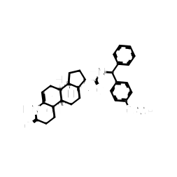 COc1ccc(C(NC(=O)[C@H]2CC[C@H]3[C@@H]4CC=C5NC(=O)CC[C@]5(C)[C@H]4CC[C@]23C)c2ccccc2)cc1